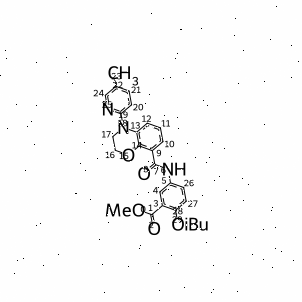 COC(=O)c1cc(NC(=O)c2cccc3c2OCCN3c2ccc(C)cn2)ccc1OCC(C)C